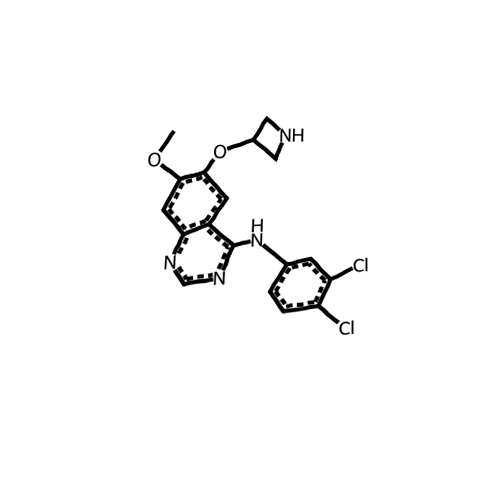 COc1cc2ncnc(Nc3ccc(Cl)c(Cl)c3)c2cc1OC1CNC1